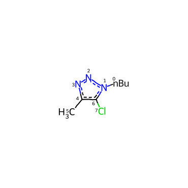 CCCCn1nnc(C)c1Cl